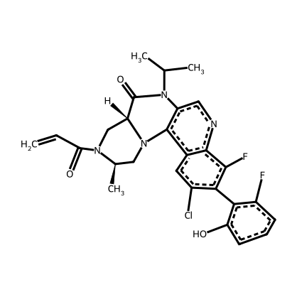 C=CC(=O)N1C[C@@H]2C(=O)N(C(C)C)c3cnc4c(F)c(-c5c(O)cccc5F)c(Cl)cc4c3N2C[C@H]1C